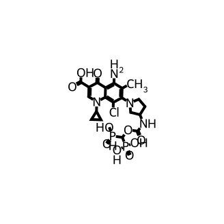 Cc1c(N2CCC(NC(=O)OC([PH](=O)O)P(=O)(O)O)C2)c(Cl)c2c(c1N)c(=O)c(C(=O)O)cn2C1CC1